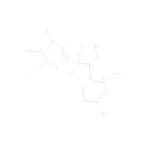 Cc1ccc(N(CC(C)C)S(=O)(=O)c2cc(F)c(F)c(F)c2)c(C)c1